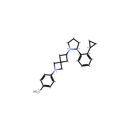 O=C(O)c1ccc(N2CC3(CC(N4CCC[C@H]4c4ccccc4C4CC4)C3)C2)cc1